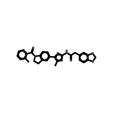 Cc1cccnc1C(=O)N1CCc2cc(-c3nc(NC(=O)Cc4ccc5c(c4)OCO5)sc3C)ccc21